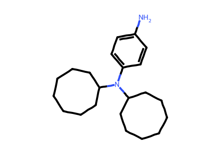 Nc1ccc(N(C2CCCCCCC2)C2CCCCCCC2)cc1